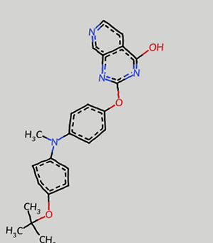 CN(c1ccc(Oc2nc(O)c3ccncc3n2)cc1)c1ccc(OC(C)(C)C)cc1